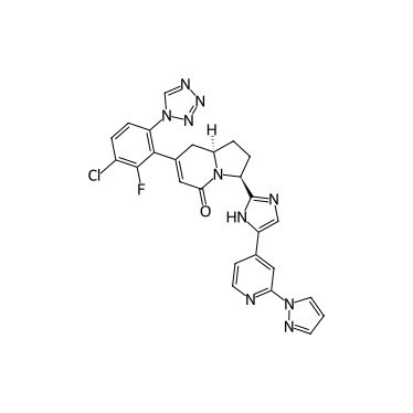 O=C1C=C(c2c(-n3cnnn3)ccc(Cl)c2F)C[C@H]2CC[C@@H](c3ncc(-c4ccnc(-n5cccn5)c4)[nH]3)N12